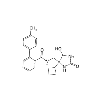 Cc1ccc(-c2ccccc2C(=O)NCC2(C3CCC3)NC(=O)NC2O)cc1